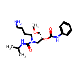 COC[C@@H](CN(CCCCN)C(=O)NC(C)C)OC(=O)Nc1ccccc1